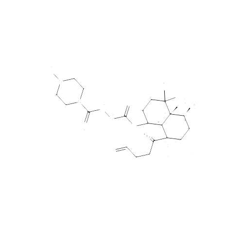 C=C[C@@H](C)CC(=O)[C@]1(O)[C@@H](C)C[C@H](O)[C@H]2C(C)(C)CC[C@](O)(OC(=O)NOC(=O)N3CCN(C)CC3)[C@@]21C